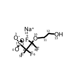 O=S(=O)([O-])C(F)(F)C(F)(F)OCCO.[Na+]